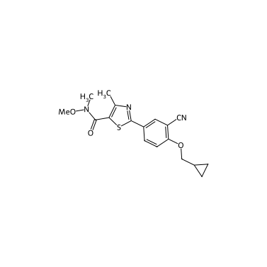 CON(C)C(=O)c1sc(-c2ccc(OCC3CC3)c(C#N)c2)nc1C